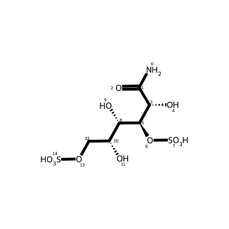 NC(=O)[C@H](O)[C@@H](OS(=O)(=O)O)[C@@H](O)[C@H](O)COS(=O)(=O)O